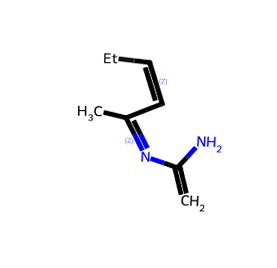 C=C(N)/N=C(C)\C=C/CC